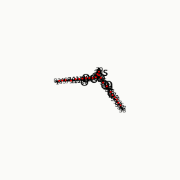 CCCCCC=CCC=CCCCCCCCC(=O)OCCCCOc1cc(C[As](C)C)cc(OCCCCOC(=O)CCCCCCCC=CCCCCCCCC)c1